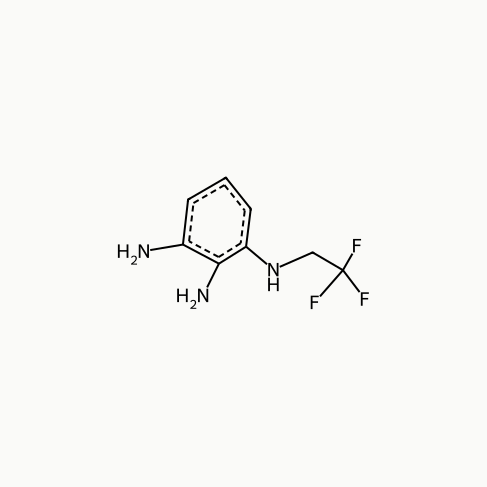 Nc1cccc(NCC(F)(F)F)c1N